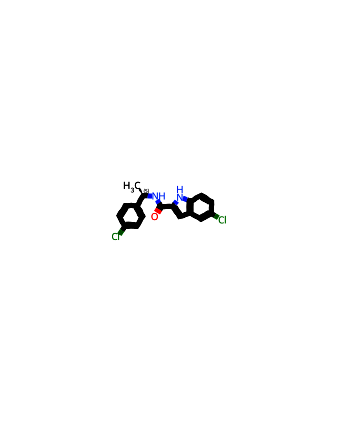 C[C@H](NC(=O)c1cc2cc(Cl)ccc2[nH]1)c1ccc(Cl)cc1